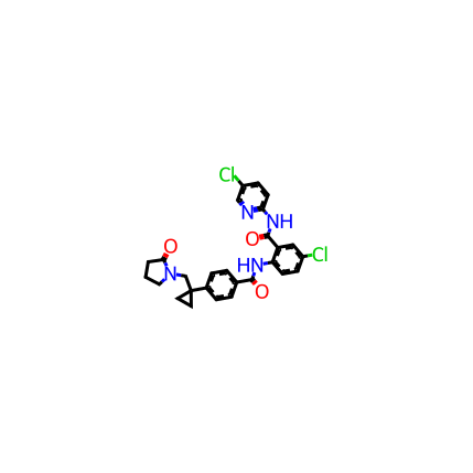 O=C(Nc1ccc(Cl)cc1C(=O)Nc1ccc(Cl)cn1)c1ccc(C2(CN3CCCC3=O)CC2)cc1